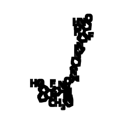 CCc1cccc2cc(O)cc(-c3ncc4c(N5CC6CCC(C5)N6)nc(OCC5(CN6CC7(CCC(N8CCN(c9cc(F)c(C%10CCC(=O)NC%10=O)c(F)c9)CC8)CC7)C6)CC5)nc4c3F)c12